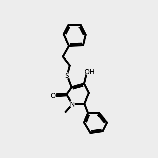 CN1C(=O)C(SCCc2ccccc2)=C(O)CC1c1ccccc1